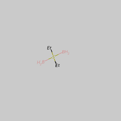 BS(B)(CC)CC